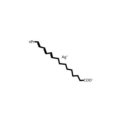 CCC/C=C/C=C/C=C/CCCCCCCCC(=O)[O-].[Ag+]